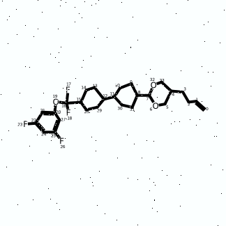 C=CCCC1COC(C2CCC(C3CCC(C(F)(F)Oc4cc(F)cc(F)c4)CC3)CC2)OC1